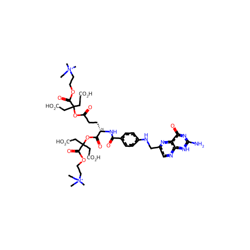 C[N+](C)(C)CCOC(=O)C(CC(=O)O)(CC(=O)O)OC(=O)CC[C@H](NC(=O)c1ccc(NCc2cnc3[nH]c(N)nc(=O)c3n2)cc1)C(=O)OC(CC(=O)O)(CC(=O)O)C(=O)OCC[N+](C)(C)C